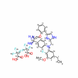 CCc1cc(OC)c(F)c(N(Cc2nc(-c3ccccc3OC)c[nH]2)c2ccc(C(=N)N)cc2)c1.O=C(O)C(F)(F)F.O=C(O)C(F)(F)F